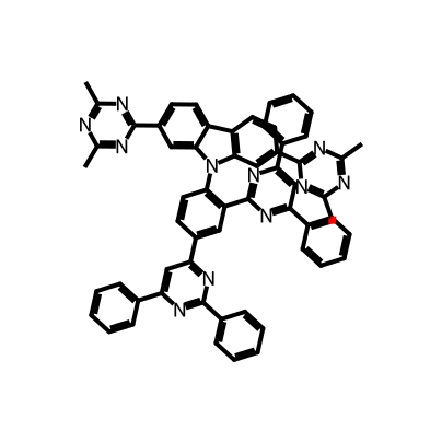 Cc1nc(C)nc(-c2ccc3c4ccc(-c5nc(C)nc(C)n5)cc4n(-c4ccc(-c5cc(-c6ccccc6)nc(-c6ccccc6)n5)cc4-c4nc(-c5ccccc5)cc(-c5ccccc5)n4)c3c2)n1